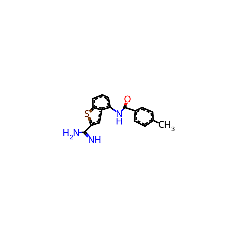 Cc1ccc(C(=O)Nc2cccc3sc(C(=N)N)cc23)cc1